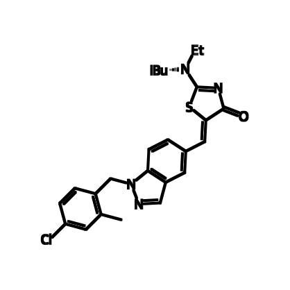 CC[C@@H](C)N(CC)C1=NC(=O)/C(=C/c2ccc3c(cnn3Cc3ccc(Cl)cc3C)c2)S1